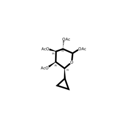 CC(=O)OC1O[C@@H](C2CC2)[C@@H](OC(C)=O)[C@@H](OC(C)=O)[C@@H]1OC(C)=O